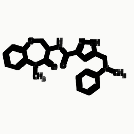 CN(Cc1cc(C(=O)NC2COc3ccccc3N(C)C2=O)n[nH]1)c1ccccc1